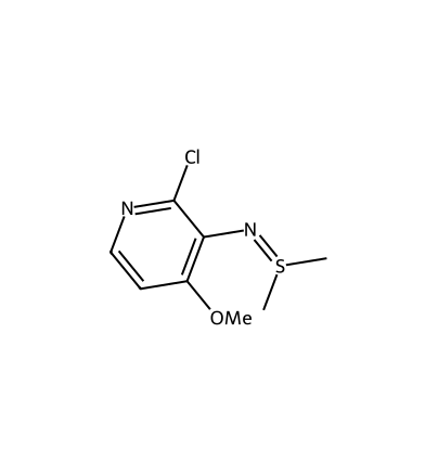 COc1ccnc(Cl)c1N=S(C)C